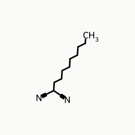 CCCCCCCCCC(C#N)C#N